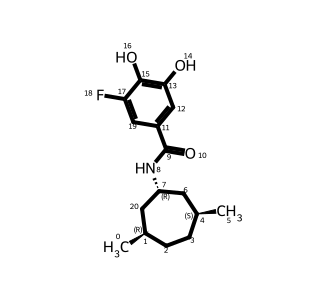 C[C@@H]1CC[C@H](C)C[C@@H](NC(=O)c2cc(O)c(O)c(F)c2)C1